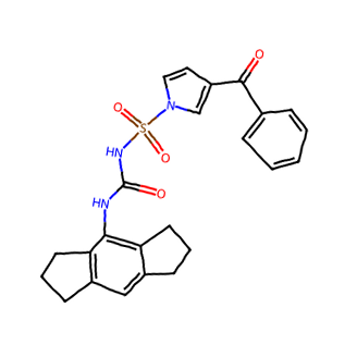 O=C(Nc1c2c(cc3c1CCC3)CCC2)NS(=O)(=O)n1ccc(C(=O)c2ccccc2)c1